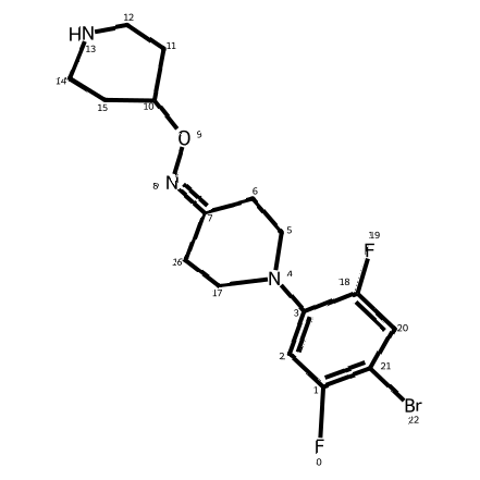 Fc1cc(N2CCC(=NOC3CCNCC3)CC2)c(F)cc1Br